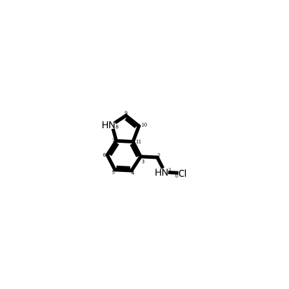 ClNCc1cccc2[nH]ccc12